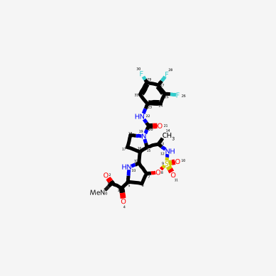 CNC(=O)C(=O)C1CC2OS(=O)(=O)NC(C)C3C(CCN3C(=O)Nc3cc(F)c(F)c(F)c3)C2N1